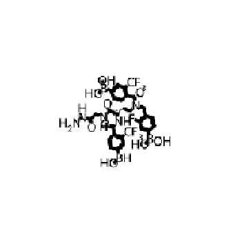 NNC(=O)CNC(=O)[C@H](CCN(Cc1ccc(B(O)O)cc1F)C(=O)c1ccc(B(O)O)cc1C(F)(F)F)NC(=O)c1ccc(BO)cc1C(F)(F)F